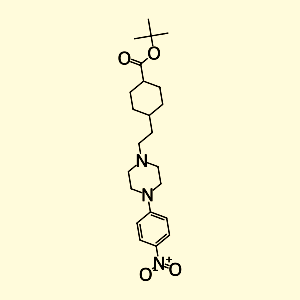 CC(C)(C)OC(=O)C1CCC(CCN2CCN(c3ccc([N+](=O)[O-])cc3)CC2)CC1